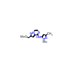 COCc1cc2c(Nc3cc(C)nn3C(C)(C)C)nccn2n1